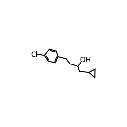 OC(CCc1ccc(Cl)cc1)CC1CC1